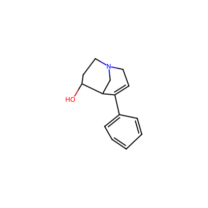 OC1CCN2CC=C(c3ccccc3)C1C2